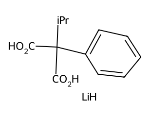 CC(C)C(C(=O)O)(C(=O)O)c1ccccc1.[LiH]